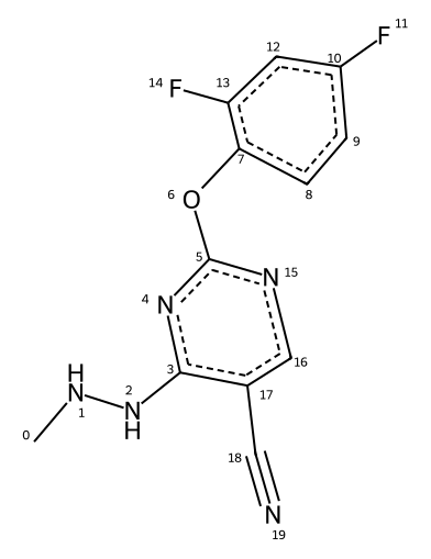 CNNc1nc(Oc2ccc(F)cc2F)ncc1C#N